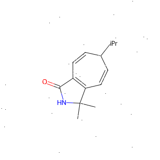 CC(C)C1C=CC2=C(C=C1)C(C)(C)NC2=O